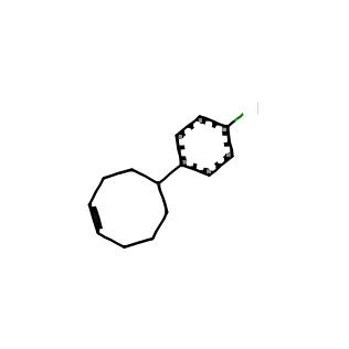 Clc1ccc(C2CCC=CCCC2)cc1